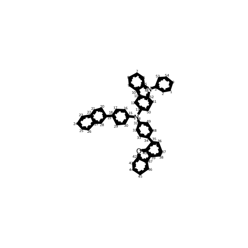 c1ccc(-n2c3ccccc3c3cc(N(c4ccc(-c5ccc6ccccc6c5)cc4)c4ccc(-c5cccc6c5oc5ccccc56)cc4)ccc32)cc1